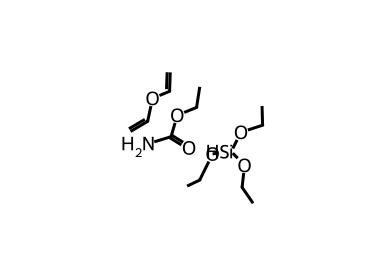 C=COC=C.CCOC(N)=O.CCO[SiH](OCC)OCC